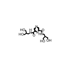 O=C(NCC(CO)CO)c1cncc(C(=O)NCC(CO)CO)n1